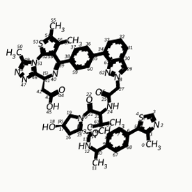 Cc1ncsc1-c1ccc(C(C)NC(=O)[C@@H]2C[C@@H](O)CN2C(=O)C(NC(=O)Cn2cc3cccc(-c4ccc(C5=N[C@@H](CC(=O)O)c6nnc(C)n6-c6sc(C)c(C)c65)cc4)c3n2)C(C)(C)C)cc1